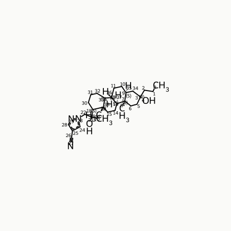 CCC[C@@]1(O)CC[C@@]2(C)[C@@H](CC[C@@H]3[C@@H]2CC[C@]2(C)[C@@H](C(C)(O)Cn4cc(C#N)cn4)CCC[C@@H]32)C1